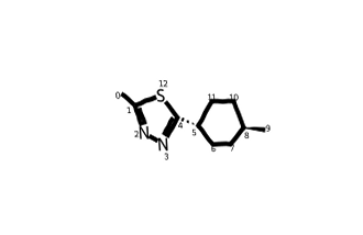 Cc1nnc([C@H]2CC[C@H](C)CC2)s1